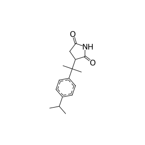 CC(C)c1ccc(C(C)(C)C2CC(=O)NC2=O)cc1